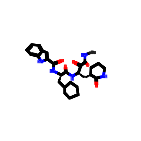 CC(C)(C)NC(=O)C(=O)[C@H](C[C@@H]1CCCNC1=O)NC(=O)[C@H](CC1CCCCC1)NC(=O)c1cc2ccccc2[nH]1